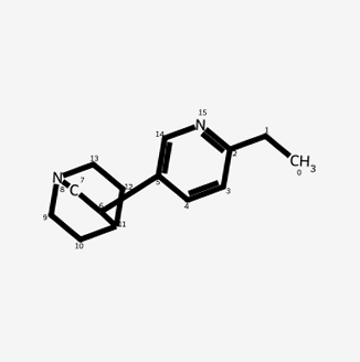 CCc1ccc(C2CN3CCC2CC3)cn1